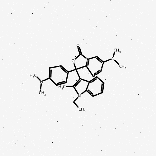 CCn1c(C)c(C2(c3ccc(N(C)C)cc3)OC(=O)c3cc(N(C)C)ccc32)c2ccccc21